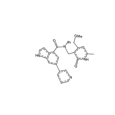 COCc1cc(C)[nH]c(=O)c1CN(C(=O)c1cc(-c2cccnc2)cc2[nH]ccc12)C(C)C